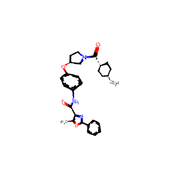 O=C(Nc1ccc(O[C@H]2CCN(C(=O)[C@H]3CC[C@H](C(=O)O)CC3)C2)cc1)c1nc(-c2ccccc2)oc1C(F)(F)F